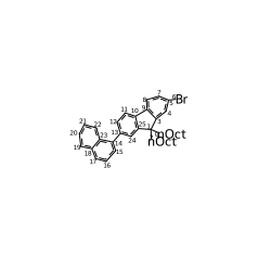 CCCCCCCCC1(CCCCCCCC)c2cc(Br)ccc2-c2ccc(-c3cccc4ccccc34)cc21